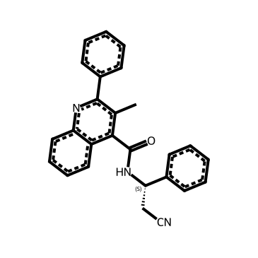 Cc1c(-c2ccccc2)nc2ccccc2c1C(=O)N[C@@H](CC#N)c1ccccc1